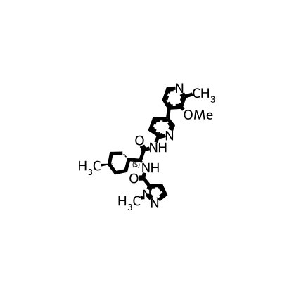 COc1c(-c2ccc(NC(=O)[C@@H](NC(=O)c3ccnn3C)[C@H]3CC[C@H](C)CC3)nc2)ccnc1C